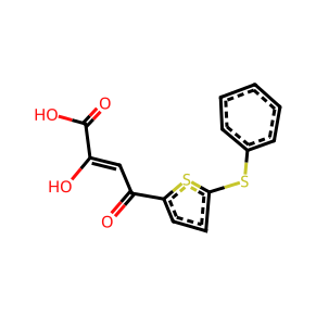 O=C(O)/C(O)=C/C(=O)c1ccc(Sc2ccccc2)s1